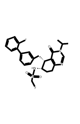 CC(C)n1cnc2c(c1=O)[C@@H](Cc1cccc(-c3ccccc3F)c1)[C@@H](NS(=O)(=O)CF)CC2